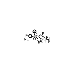 C=C(OC(C)C)/C(F)=C\C=C\[C@@](Cc1ccccc1)(NC(=O)c1ccc(F)c(C#N)c1)C(=C)/C=C(F)\C=C\OC(F)(F)C(F)F